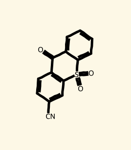 N#Cc1ccc2c(c1)S(=O)(=O)c1ccccc1C2=O